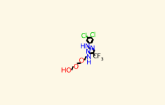 OCCOCCOCCNc1nc(Nc2ccc(Cl)c(Cl)c2)ncc1C(F)(F)F